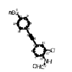 CCCCc1ccc(C#Cc2ccc(NC=O)c(Cl)c2)cc1